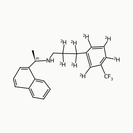 [2H]c1c([2H])c(C(F)(F)F)c([2H])c(C([2H])([2H])C([2H])([2H])CN[C@H](C)c2cccc3ccccc23)c1[2H]